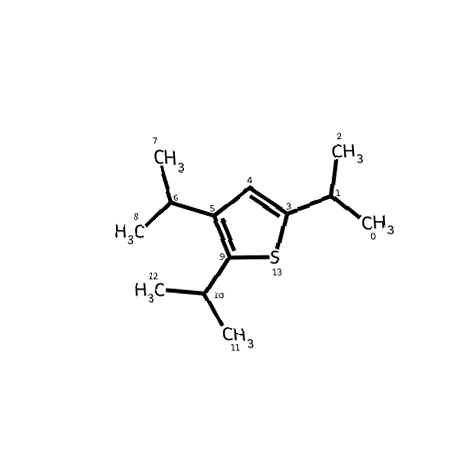 CC(C)c1cc(C(C)C)c(C(C)C)s1